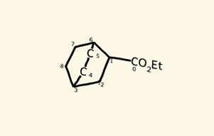 CCOC(=O)C1[CH]C2CCC1CC2